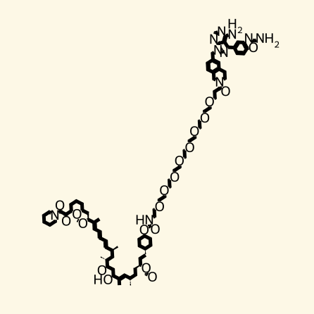 CO[C@@H](CC1CCCC(C(=O)C(=O)N2CCCCC2)O1)/C(C)=C/C=C/C=C/[C@@H](C)C[C@@H](C)C(=O)C[C@H](O)/C(C)=C/[C@@H](C)CC[C@@H](CC[C@H]1CC[C@H](OC(=O)NCCOCCOCCOCCOCCOCCOCCOCCOCCC(=O)N2CCc3cc(Cn4nc(-c5ccc6oc(N)nc6c5)c5c(N)ncnc54)ccc3C2)CC1)OC=O